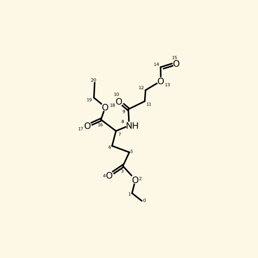 CCOC(=O)CCC(NC(=O)CCOC=O)C(=O)OCC